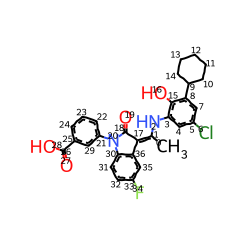 C/C(Nc1cc(Cl)cc(C2CCCCC2)c1O)=C1/C(=O)N(c2cccc(C(=O)O)c2)c2ccc(F)cc21